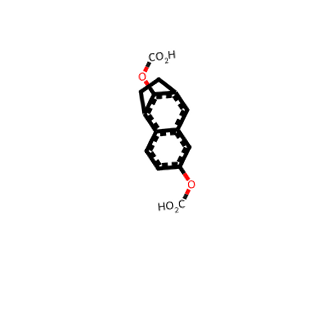 O=C(O)Oc1ccc2c3c(OC(=O)O)c(cc2c1)CC3